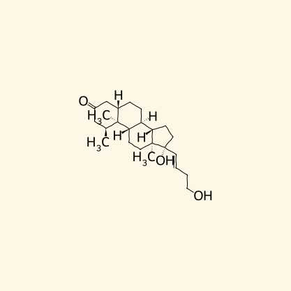 C[C@H]1CC(=O)C[C@@H]2CC[C@@H]3[C@H](CC[C@@]4(C)[C@H]3CC[C@@]4(O)C=CCCO)[C@]21C